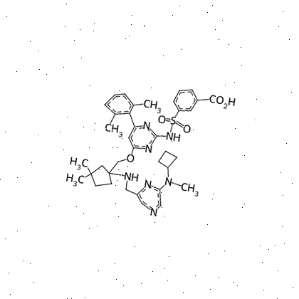 Cc1cccc(C)c1-c1cc(OCC2(NCc3cncc(N(C)C4CCC4)n3)CCC(C)(C)C2)nc(NS(=O)(=O)c2cccc(C(=O)O)c2)n1